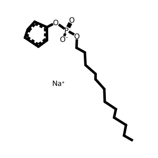 CCCCCCCCCCCCOP(=O)([O-])Oc1ccccc1.[Na+]